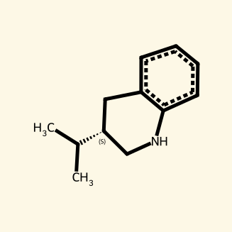 CC(C)[C@H]1CNc2ccccc2C1